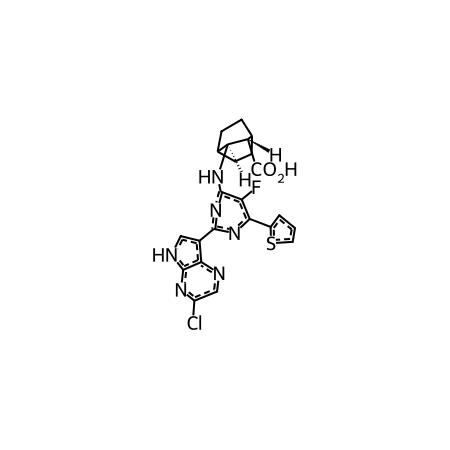 O=C(O)[C@H]1C2CCC(CC2)[C@@H]1Nc1nc(-c2c[nH]c3nc(Cl)cnc23)nc(-c2cccs2)c1F